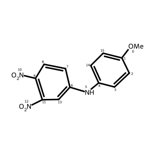 COc1ccc(Nc2ccc([N+](=O)[O-])c([N+](=O)[O-])c2)cc1